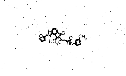 Cc1cccc(NC(=O)CCC(C(=O)O)N2C(=O)c3cccc(NCc4ccco4)c3C2=O)c1